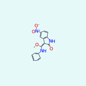 COC(Nc1ccccc1)=C1C(=O)Nc2ccc([N+](=O)[O-])cc21